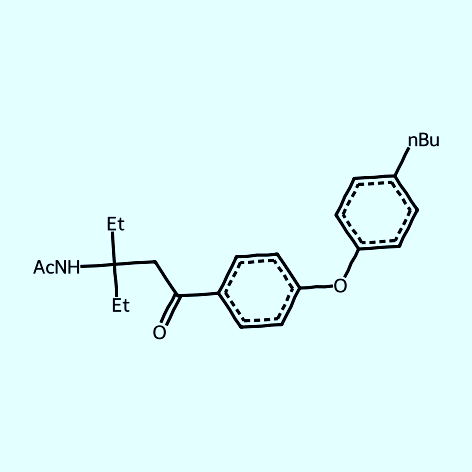 CCCCc1ccc(Oc2ccc(C(=O)CC(CC)(CC)NC(C)=O)cc2)cc1